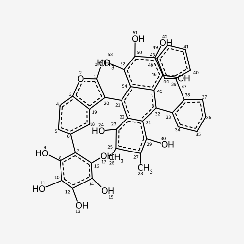 Cc1oc2ccc(-c3c(O)c(O)c(O)c(O)c3O)cc2c1-c1c2c(O)c(C)c(C)c(O)c2c(-c2ccccc2-c2ccccc2)c2c(O)c(O)c(O)c(O)c12